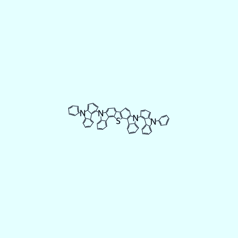 c1ccc(-n2c3ccccc3c3c(-n4c5ccccc5c5c6sc7c(ccc8c7c7ccccc7n8-c7cccc8c7c7ccccc7n8-c7ccccc7)c6ccc54)cccc32)cc1